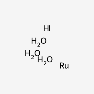 I.O.O.O.[Ru]